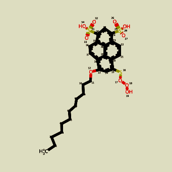 CCCCCCCCCCCCOc1cc(SOOO)c2ccc3c(S(=O)(=O)O)cc(S(=O)(=O)O)c4ccc1c2c43